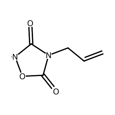 C=CCN1C(=O)[N]OC1=O